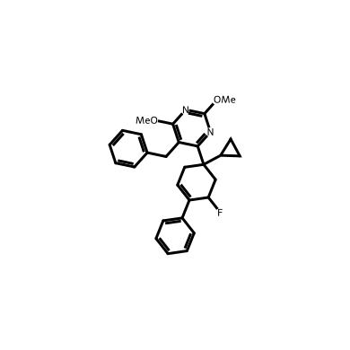 COc1nc(OC)c(Cc2ccccc2)c(C2(C3CC3)CC=C(c3ccccc3)C(F)C2)n1